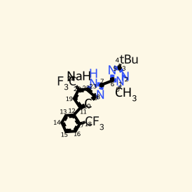 Cn1nc(C(C)(C)C)nc1-c1nc2cc(-c3ccccc3C(F)(F)F)cc(C(F)(F)F)c2[nH]1.[NaH]